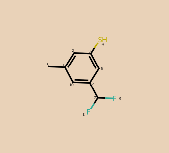 Cc1cc(S)cc(C(F)F)c1